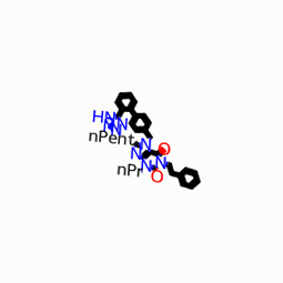 CCCCCc1nc2c(c(=O)n(CCc3ccccc3)c(=O)n2CCC)n1Cc1ccc(-c2ccccc2-c2nnn[nH]2)cc1